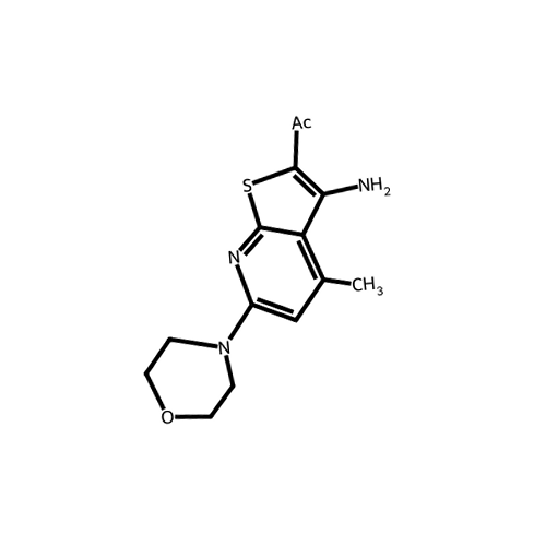 CC(=O)c1sc2nc(N3CCOCC3)cc(C)c2c1N